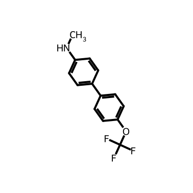 CNc1ccc(-c2ccc(OC(F)(F)F)cc2)cc1